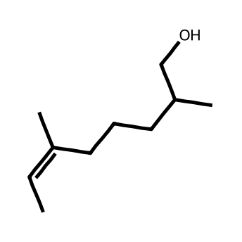 CC=C(C)CCCC(C)CO